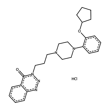 Cl.O=c1c2ccccc2nnn1CCCN1CCN(c2ccccc2OC2CCCC2)CC1